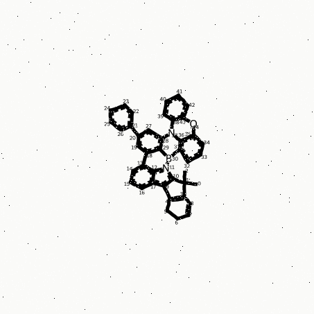 CC1(C)C2=C(CCC=C2)c2c1n1c3c(cccc23)-c2cc(-c3ccccc3)cc3c2B1c1cccc2c1N3c1ccccc1O2